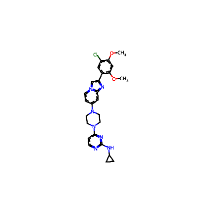 COc1cc(OC)c(-c2cn3ccc(N4CCN(c5ccnc(NC6CC6)n5)CC4)cc3n2)cc1Cl